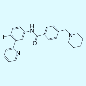 O=C(Nc1ccc(I)c(-c2ccccn2)c1)c1ccc(CN2CCCCC2)cc1